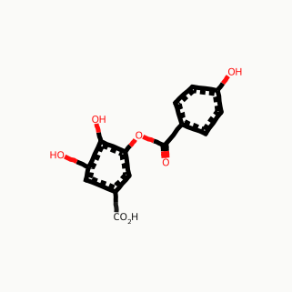 O=C(O)c1cc(O)c(O)c(OC(=O)c2ccc(O)cc2)c1